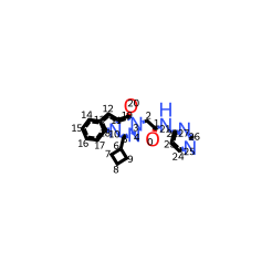 O=C(Cn1nc(C2CCC2)n2c(cc3ccccc32)c1=O)Nc1ccncn1